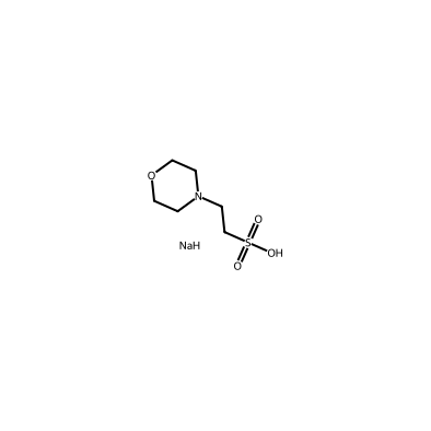 O=S(=O)(O)CCN1CCOCC1.[NaH]